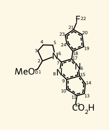 COCC1CCCN1c1nc2cc(C(=O)O)ccc2nc1-c1ccc(F)cc1